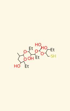 CCC(O)C(CS)OC(CO)OC(CC)C(O)C(CC)OC1OC(CC)C(O)CC1C